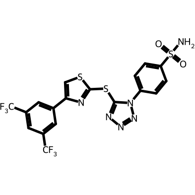 NS(=O)(=O)c1ccc(-n2nnnc2Sc2nc(-c3cc(C(F)(F)F)cc(C(F)(F)F)c3)cs2)cc1